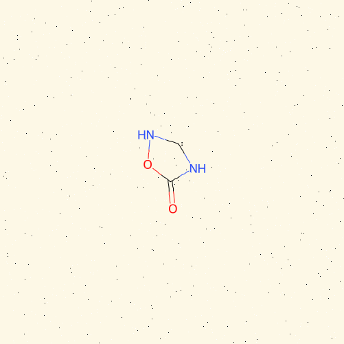 O=C1N[C]NO1